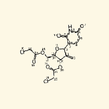 C=C1C(n2ccc(=O)[nH]c2=O)O[C@H](COC(=O)CCl)[C@H]1OC(=O)CCl